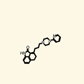 O=C1Nc2cccc3c2C1(CCCCN1CCN(c2ccccn2)CC1)CCC3